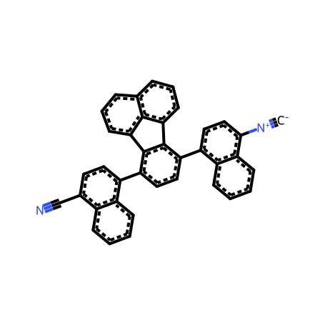 [C-]#[N+]c1ccc(-c2ccc(-c3ccc(C#N)c4ccccc34)c3c2-c2cccc4cccc-3c24)c2ccccc12